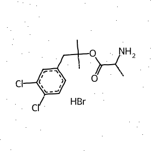 Br.CC(N)C(=O)OC(C)(C)Cc1ccc(Cl)c(Cl)c1